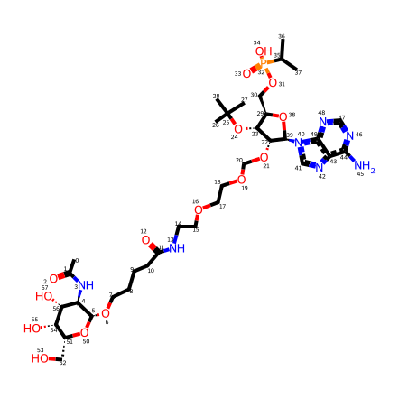 CC(=O)N[C@H]1[C@H](OCCCCC(=O)NCCOCCOCO[C@@H]2[C@H](OC(C)(C)C)[C@@H](COP(=O)(O)C(C)C)O[C@H]2n2cnc3c(N)ncnc32)O[C@H](CO)[C@H](O)[C@@H]1O